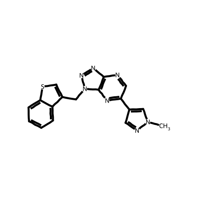 Cn1cc(-c2cnc3nnn(Cc4csc5ccccc45)c3n2)cn1